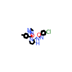 Cc1ccc(C(=O)N2CCC[C@@H](C)[C@H]2CNc2nc3cc(Cl)ccc3o2)c(-n2nccn2)c1